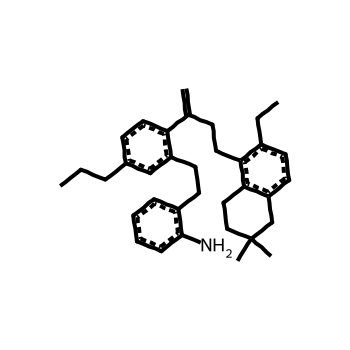 C=C(CCc1c(CC)ccc2c1CCC(C)(C)C2)c1ccc(CCC)cc1CCc1ccccc1N